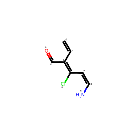 C=C/C(C=O)=C(Cl)\C=C/N